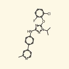 Cc1cc(-c2ccc(Nc3nc(Oc4c(F)cccc4Cl)n(C(C)C)n3)cc2)ccn1